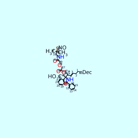 CCCCCCCCCCCCC=CC(CC)[C@](NC(=O)c1ccccc1)(c1ccccc1)[C@@H](OC(=O)COCC(=O)NCC(C)(C)SN=O)C(=O)O